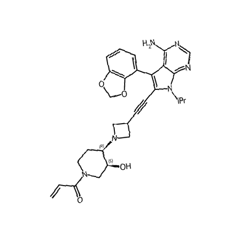 C=CC(=O)N1CC[C@@H](N2CC(C#Cc3c(-c4cccc5c4OCO5)c4c(N)ncnc4n3C(C)C)C2)[C@@H](O)C1